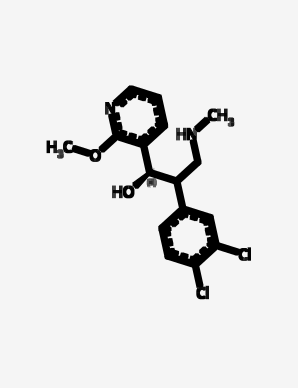 CNCC(c1ccc(Cl)c(Cl)c1)[C@@H](O)c1cccnc1OC